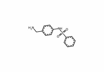 NCc1ccc(NS(=O)(=O)c2ccccc2)cc1